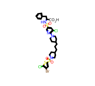 O=C(O)C(Cc1ccccc1)NS(=O)(=O)c1cnc(N2CCC(CCCC3CCN(S(=O)(=O)c4cc(Br)c(Cl)s4)CC3)CC2)c(Cl)c1